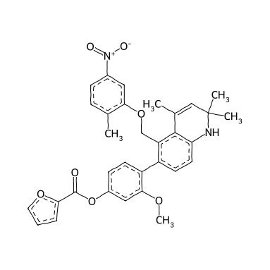 COc1cc(OC(=O)c2ccco2)ccc1-c1ccc2c(c1COc1cc([N+](=O)[O-])ccc1C)C(C)=CC(C)(C)N2